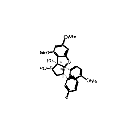 COc1ccc([C@@]23Oc4cc(OC)cc(OC)c4[C@]2(O)[C@H](O)C[C@H]3c2cccc(F)c2)cc1